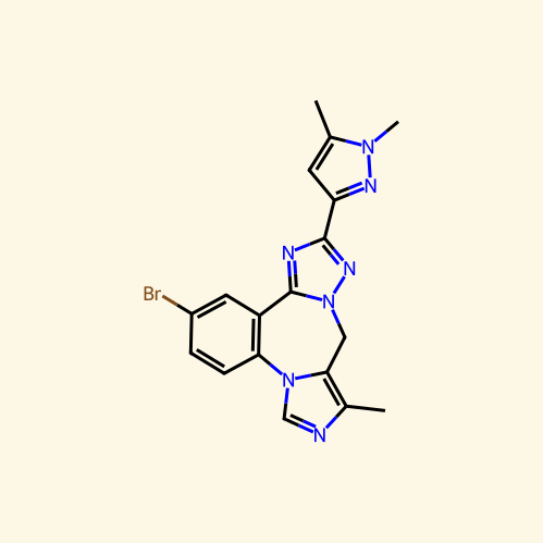 Cc1ncn2c1Cn1nc(-c3cc(C)n(C)n3)nc1-c1cc(Br)ccc1-2